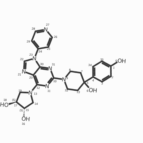 Oc1ccc(C2(O)CCN(c3nc(N4C[C@H](O)[C@@H](O)C4)c4ncn(-c5ccncc5)c4n3)CC2)cc1